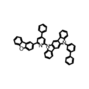 c1ccc(-c2cccc(-n3c4ccccc4c4cc5c(cc43)c3ccccc3n5-c3cc(-c4ccccc4)cc(-c4ccc5oc6ccccc6c5c4)n3)c2)cc1